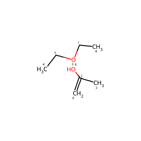 C=C(C)O.CCOCC